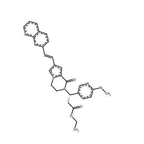 CCOC(=O)C[C@@H](c1ccc(OC)nc1)N1CCn2cc(/C=C/c3ccc4cccnc4n3)cc2C1=O